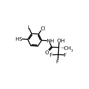 C[C@@](O)(C(=O)Nc1ccc(S)c(I)c1Cl)C(F)(F)F